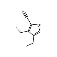 CCc1c[pH]c(C#N)c1CC